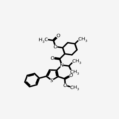 COC(=O)c1sc(-c2ccccc2)cc1N(C(=O)C1CCC(C)CC1OC(C)=O)C(C)C